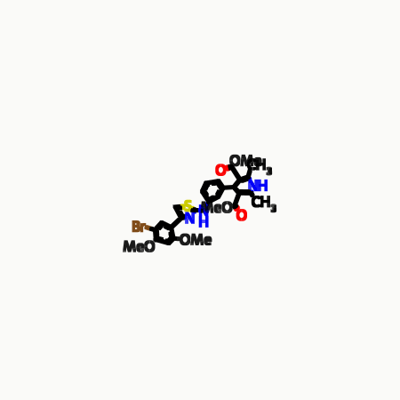 COC(=O)C1=C(C)NC(C)=C(C(=O)OC)C1c1cccc(Nc2nc(-c3cc(Br)c(OC)cc3OC)cs2)c1